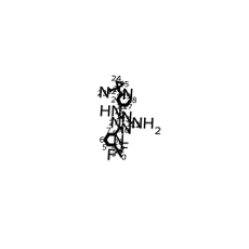 CC(F)(F)c1cccc(-c2nc(N)nc(Nc3ccnc(C4(C#N)CC4)c3)n2)n1